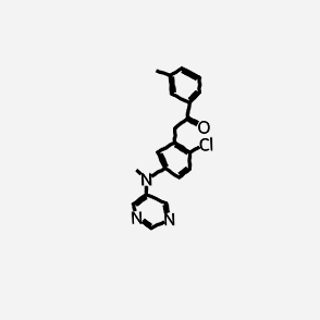 Cc1cccc(C(=O)Cc2cc(N(C)c3cncnc3)ccc2Cl)c1